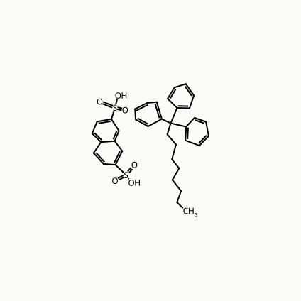 CCCCCCCCC(c1ccccc1)(c1ccccc1)c1ccccc1.O=S(=O)(O)c1ccc2ccc(S(=O)(=O)O)cc2c1